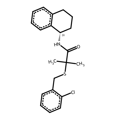 CC(C)(SCc1ccccc1Cl)C(=O)N[C@H]1CCCc2ccccc21